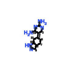 Nc1ncc(-c2ccc3cn[nH]c3c2)c(N)n1